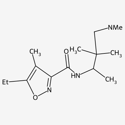 CCc1onc(C(=O)NC(C)C(C)(C)CNC)c1C